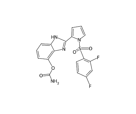 NC(=O)Oc1cccc2[nH]c(-c3cccn3S(=O)(=O)c3ccc(F)cc3F)nc12